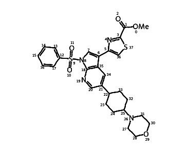 COC(=O)c1nc(-c2cn(S(=O)(=O)c3ccccc3)c3ncc(C4CCC(N5CCOCC5)CC4)cc23)cs1